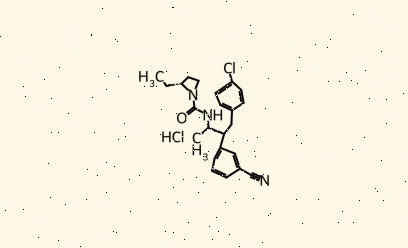 CC[C@H]1CCN1C(=O)NC(C)C(Cc1ccc(Cl)cc1)c1cccc(C#N)c1.Cl